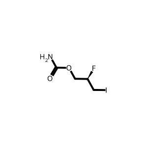 NC(=O)OC[C@@H](F)CI